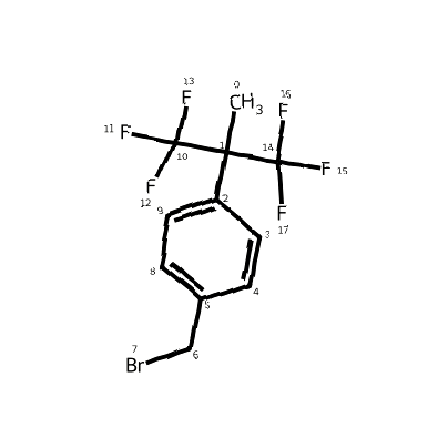 CC(c1ccc(CBr)cc1)(C(F)(F)F)C(F)(F)F